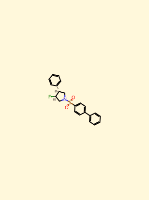 O=S(=O)(c1ccc(-c2ccccc2)cc1)N1C[C@@H](F)[C@H](c2ccccc2)C1